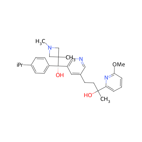 COc1cccc(C(C)(O)CCc2cncc([C@@](O)(c3ccc(C(C)C)cc3)C3(C)CN(C)C3)c2)n1